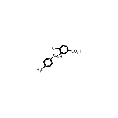 Cc1ccc(SNc2cc(C(=O)O)ccc2Cl)cc1